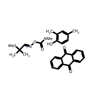 CNC(=O)O/N=C/C(C)(C)SC.Cc1ccc(O)c(C)c1.O=C1c2ccccc2C(=O)c2ccccc21